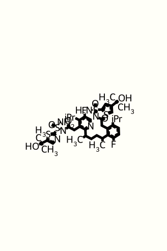 CC(C)c1ccc(F)c(C(C)CCC(C)c2ncc(F)c(C(C)C)c2CC(=O)N=[S@@](N)(=O)c2ncc(C(C)(C)O)s2)c1CC(=O)N=[S@](N)(=O)c1cc(C(C)(C)O)cs1